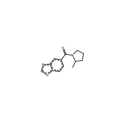 CC1CCCN1C(=O)c1ccc2ocnc2c1